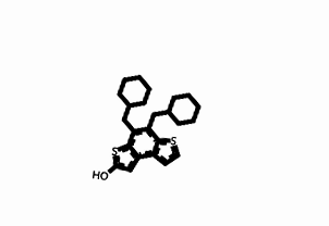 Oc1cc2c(s1)c(CC1CCCCC1)c(CC1CCCCC1)c1sccc12